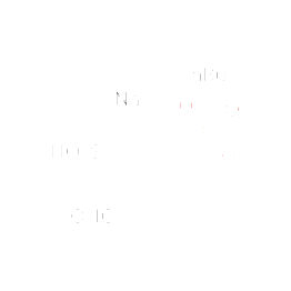 CCCCOS(=O)(=O)c1ccc(C=O)c(S(=O)(=O)O)c1.[Na]